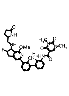 COc1nc(-c2cccc(-c3cccc(NC(=O)c4cn(C)c(=O)n(C)c4=O)c3C)c2Cl)cc2c1C(NCC1CCC(=O)N1)C(F)C2